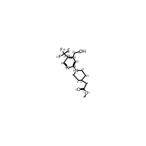 COC(=O)CC1CCN(c2cc(CO)c(C(F)(F)F)cn2)CC1